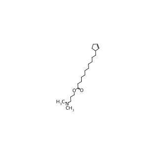 CN(C)CCCOC(=O)CCCCCCCCCCC1C=CCC1